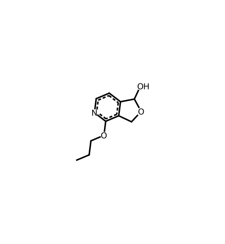 CCCOc1nccc2c1COC2O